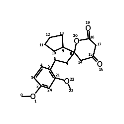 COc1ccc(CCC2(C3CCCC3)CC(=O)CC(=O)O2)c(OC)c1